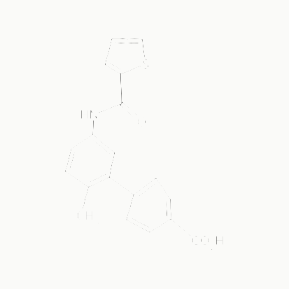 Cc1ccc(NC(=O)c2cccs2)cc1-c1ccc(C(=O)O)cc1